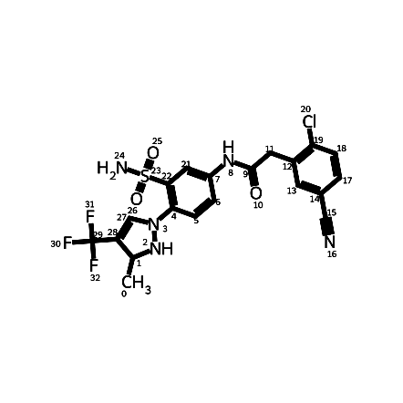 CC1NN(c2ccc(NC(=O)Cc3cc(C#N)ccc3Cl)cc2S(N)(=O)=O)C=C1C(F)(F)F